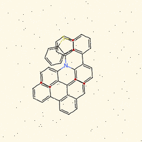 c1ccc(-c2cccc3cccc(-c4ccccc4N(c4ccccc4)c4ccccc4-c4cccc5sc6ccccc6c45)c23)cc1